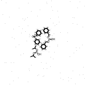 CC(C)OP(O)OC(C)C.O=[PH](c1ccccc1)c1ccccc1.OP(OCc1ccccc1)OCc1ccccc1